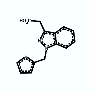 O=C(O)Cc1nn(Cc2cccs2)c2ccccc12